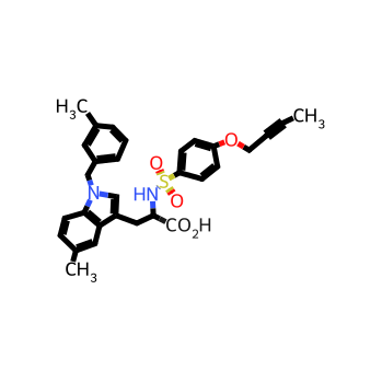 CC#CCOc1ccc(S(=O)(=O)NC(Cc2cn(Cc3cccc(C)c3)c3ccc(C)cc23)C(=O)O)cc1